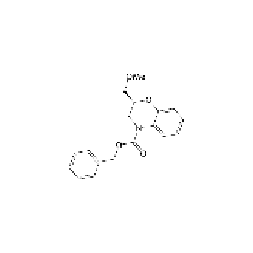 COC[C@@H]1CN(C(=O)OCc2ccccc2)c2ccccc2O1